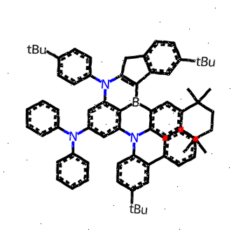 CC(C)(C)c1ccc(N2C3=C(B4c5cc6c(cc5N(c5ccc(C(C)(C)C)cc5-c5ccccc5)c5cc(N(c7ccccc7)c7ccccc7)cc2c54)C(C)(C)CCC6(C)C)c2cc(C(C)(C)C)ccc2C3)cc1